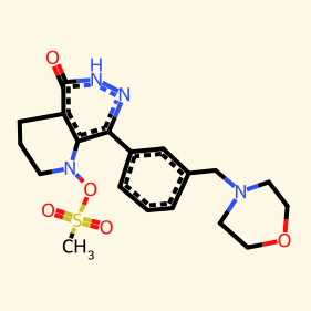 CS(=O)(=O)ON1CCCc2c1c(-c1cccc(CN3CCOCC3)c1)n[nH]c2=O